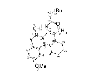 COc1ccc(CN(C)C(=S)[C@H](NC(=O)OC(C)(C)C)C(C)C2CCCCC2)cc1